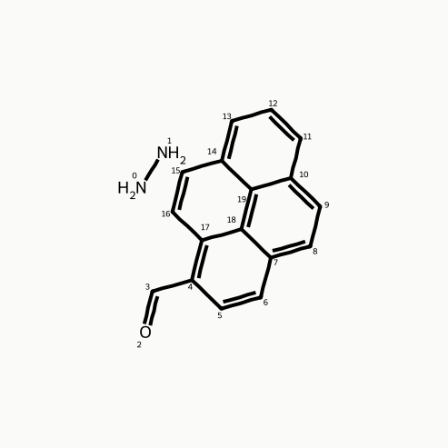 NN.O=Cc1ccc2ccc3cccc4ccc1c2c34